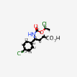 CC(Cl)OC(=O)NC(CCC(=O)O)c1ccc(Cl)cc1